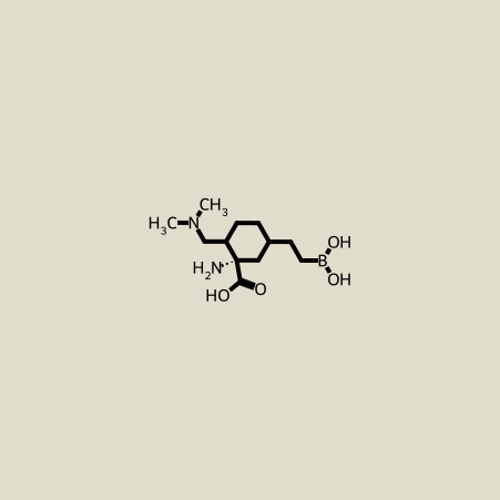 CN(C)CC1CCC(CCB(O)O)C[C@@]1(N)C(=O)O